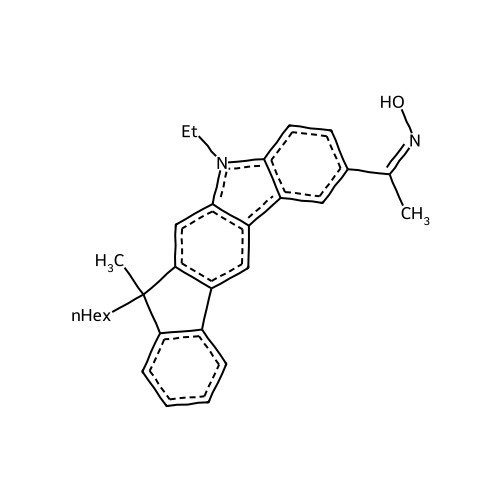 CCCCCCC1(C)c2ccccc2-c2cc3c4cc(/C(C)=N\O)ccc4n(CC)c3cc21